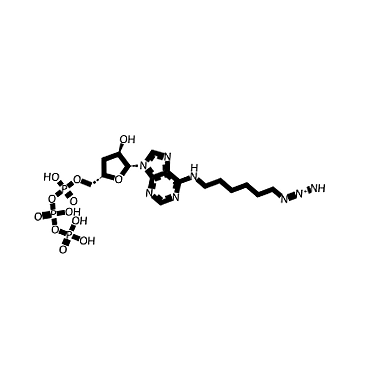 N=[N+]=NCCCCCCNc1ncnc2c1ncn2[C@@H]1O[C@H](COP(=O)(O)OP(=O)(O)OP(=O)(O)O)C[C@H]1O